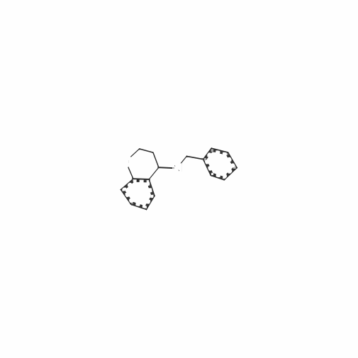 c1ccc(CNC2CCOc3ccccc32)cc1